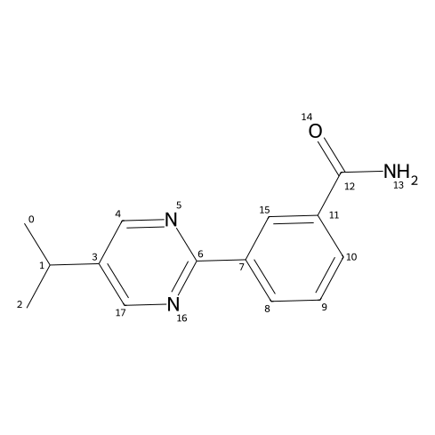 CC(C)c1cnc(-c2cccc(C(N)=O)c2)nc1